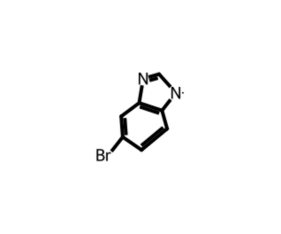 Brc1ccc2c(c1)N=C[N]2